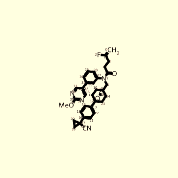 C=C(F)CCC(=O)N(CC12CCC(c3ccc(C4(C#N)CC4)cc3)(CC1)OC2)c1cccc(-c2cnc(OC)nc2)c1